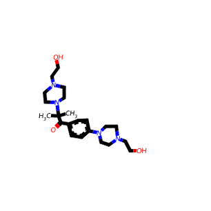 CC(C)(C(=O)c1ccc(N2CCN(CCO)CC2)cc1)N1CCN(CCO)CC1